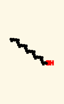 CC(C)=CCCC(C)=CCCC(C)=CCCC(C)=CCCC(C)=CCCC(C)=CCCC(C)=CCCC(C)=CCCC(C)CCO